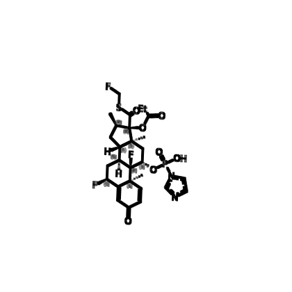 CCC(=O)O[C@]1(C(=O)SCF)[C@H](C)C[C@H]2[C@@H]3C[C@H](F)C4=CC(=O)C=C[C@]4(C)[C@@]3(F)[C@@H](OP(=O)(O)n3ccnc3)C[C@@]21C